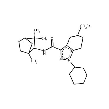 CCOC(=O)C1CCc2c(c(C(=O)NC3C4(C)CCC(C4)C3(C)C)nn2C2CCCCC2)C1